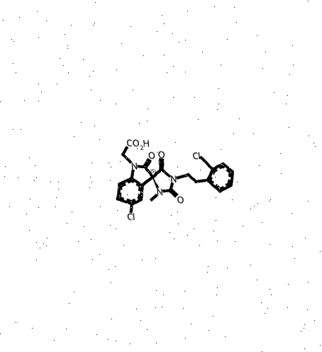 CN1C(=O)N(CCc2ccccc2Cl)C(=O)[C@]12C(=O)N(CC(=O)O)c1ccc(Cl)cc12